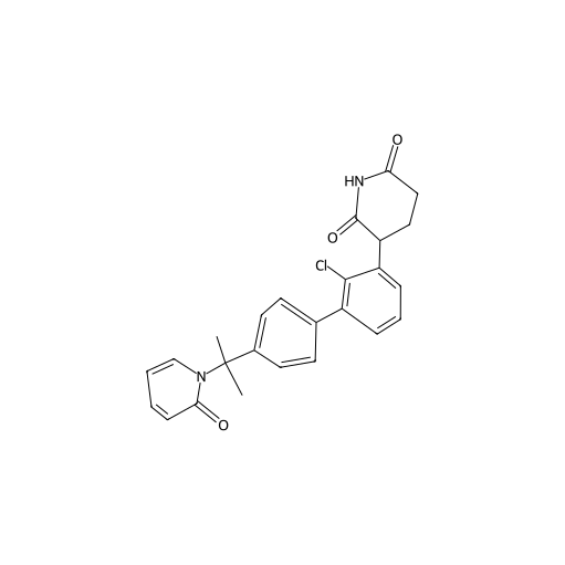 CC(C)(c1ccc(-c2cccc(C3CCC(=O)NC3=O)c2Cl)cc1)n1ccccc1=O